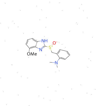 COc1cccc2[nH]c([S+]([O-])Cc3ccccc3N(C)C)nc12